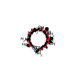 CCCC[C@H]1C(=O)N(C)[C@@H](CCCC)C(=O)N[C@@H](CC(C)C)C(=O)N[C@H](C(=O)NCC(N)=O)CSCC(=O)N[C@@H](Cc2ccc(O)cc2)C(=O)N(C)[C@@H](C)C(=O)N[C@@H](CC(N)=O)C(=O)N2CCC[C@H]2C(=O)N[C@@H](CN)C(=O)N[C@@H](CC(C)C)C(=O)N2C[C@H](O)C[C@H]2C(=O)N[C@@H](Cc2c[nH]c3ccccc23)C(=O)N[C@@H](CCN)C(=O)NC(Cn2c(=O)n(CC(=O)O)c3ccccc32)C(=O)N1C